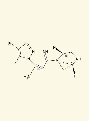 Cc1c(Br)cnn1/C(N)=C\C(=N)N1C[C@@H]2C[C@H]1CN2